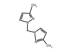 Cc1ccn(Cn2ccc(C)n2)n1